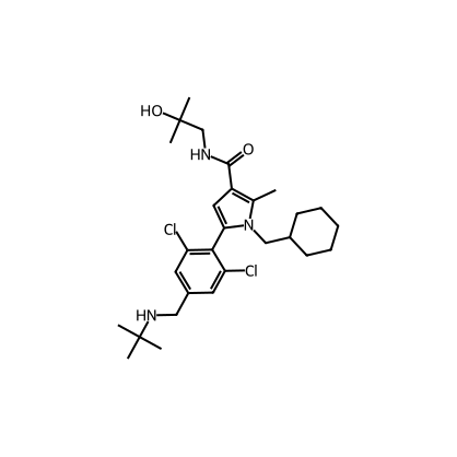 Cc1c(C(=O)NCC(C)(C)O)cc(-c2c(Cl)cc(CNC(C)(C)C)cc2Cl)n1CC1CCCCC1